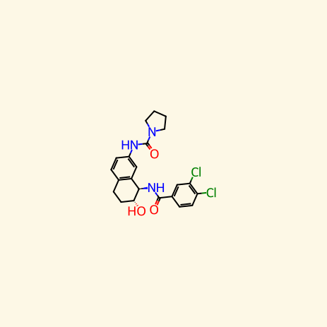 O=C(N[C@@H]1c2cc(NC(=O)N3CCCC3)ccc2CC[C@H]1O)c1ccc(Cl)c(Cl)c1